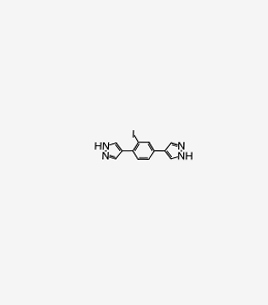 Ic1cc(-c2cn[nH]c2)ccc1-c1cn[nH]c1